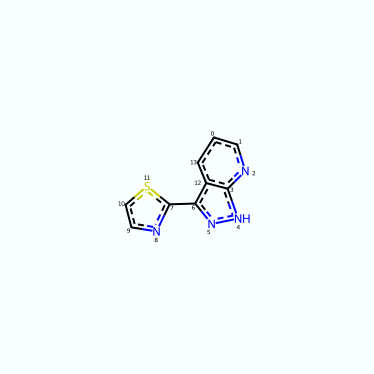 c1cnc2[nH]nc(-c3nccs3)c2c1